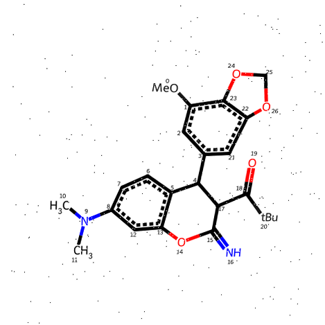 COc1cc(C2c3ccc(N(C)C)cc3OC(=N)C2C(=O)C(C)(C)C)cc2c1OCO2